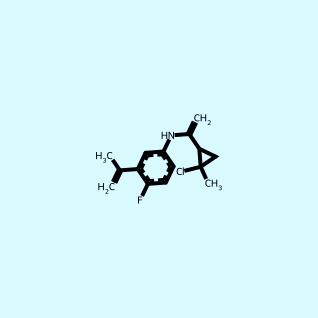 C=C(C)c1cc(NC(=C)C2CC2(C)Cl)ccc1F